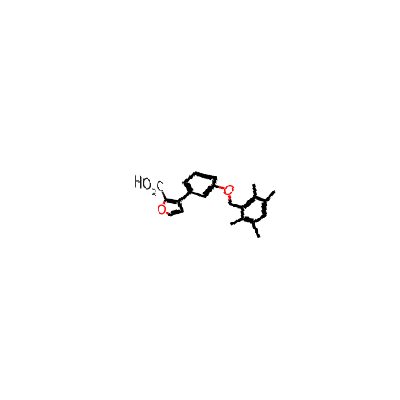 Cc1cc(C)c(C)c(COc2cccc(-c3ccoc3C(=O)O)c2)c1C